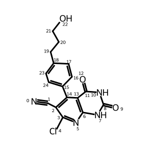 N#Cc1c(Cl)nc2[nH]c(=O)[nH]c(=O)c2c1-c1ccc(CCCO)cc1